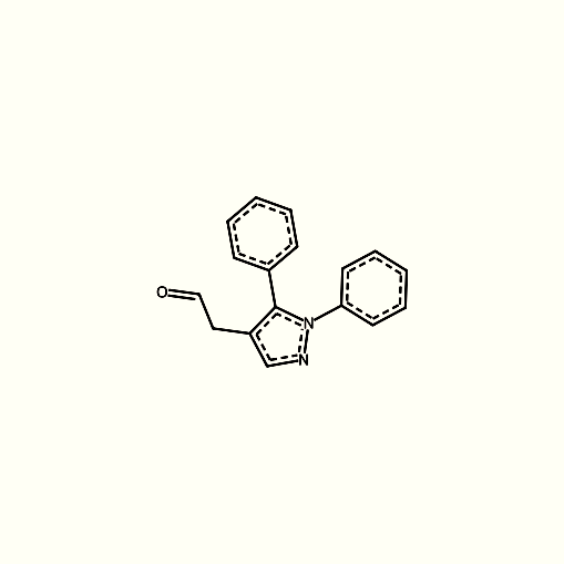 O=CCc1cnn(-c2ccccc2)c1-c1ccccc1